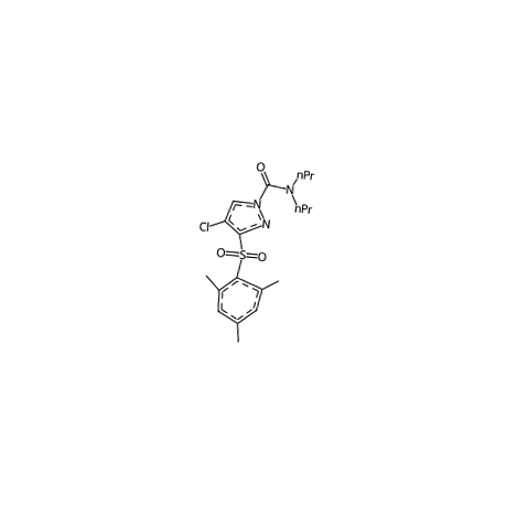 CCCN(CCC)C(=O)n1cc(Cl)c(S(=O)(=O)c2c(C)cc(C)cc2C)n1